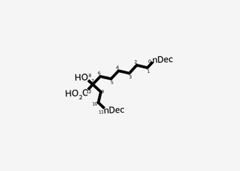 CCCCCCCCCCCCCCCCC(O)(CCCCCCCCCCCC)C(=O)O